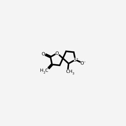 C=C1CC2(CC[S+]([O-])C2C)OC1=O